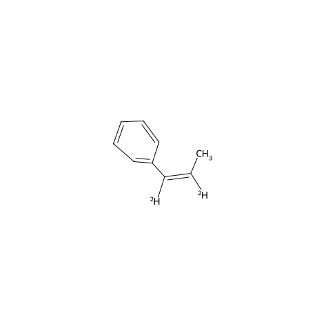 [2H]/C(C)=C(\[2H])c1ccccc1